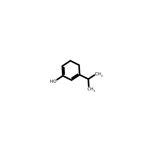 CC(C)C1=CC(O)=CCC1